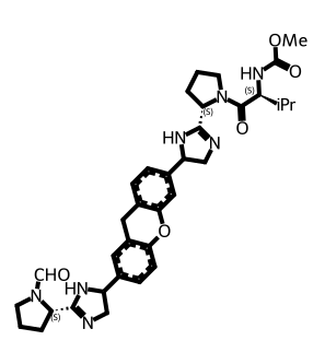 COC(=O)N[C@H](C(=O)N1CCC[C@H]1C1=NCC(c2ccc3c(c2)Oc2ccc(C4CN=C([C@@H]5CCCN5C=O)N4)cc2C3)N1)C(C)C